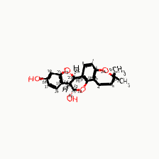 CC1(C)C=Cc2c(ccc3c2O[C@H](O)[C@H]2c4ccc(O)cc4O[C@@H]32)O1